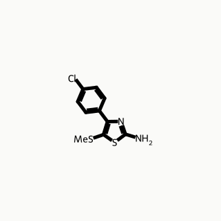 CSc1sc(N)nc1-c1ccc(Cl)cc1